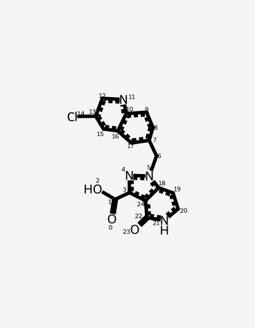 O=C(O)c1nn(Cc2ccc3ncc(Cl)cc3c2)c2cc[nH]c(=O)c12